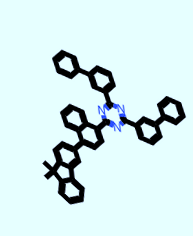 CC1(C)c2ccccc2-c2cc(-c3ccc(-c4nc(-c5cccc(-c6ccccc6)c5)nc(-c5cccc(-c6ccccc6)c5)n4)c4ccccc34)ccc21